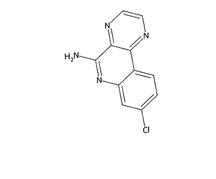 Nc1nc2cc(Cl)ccc2c2nccnc12